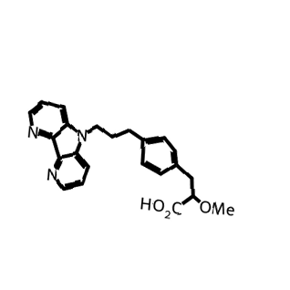 COC(Cc1ccc(CCCn2c3cccnc3c3ncccc32)cc1)C(=O)O